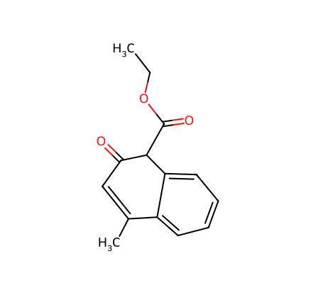 CCOC(=O)C1C(=O)C=C(C)c2ccccc21